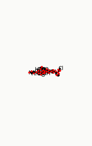 CN1CC2(CC(CNc3ccc(S(=O)(=O)NC(=O)c4ccc(N5CCN(CC6=C(C78CC(Cl)(C7)C8)CC(C)(C)CC6)CC5)cc4Oc4cnc5[nH]ccc5c4)cc3[N+](=O)[O-])C2)C1